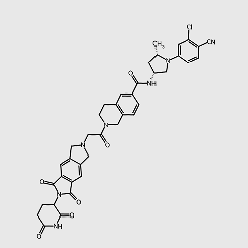 C[C@H]1C[C@@H](NC(=O)c2ccc3c(c2)CCN(C(=O)CN2Cc4cc5c(cc4C2)C(=O)N(C2CCC(=O)NC2=O)C5=O)C3)CN1c1ccc(C#N)c(Cl)c1